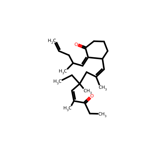 C=CCC(C)C=C1C(=O)CCCC1C=C(C)CC(C)(C=C(C)C(=O)CC)CC